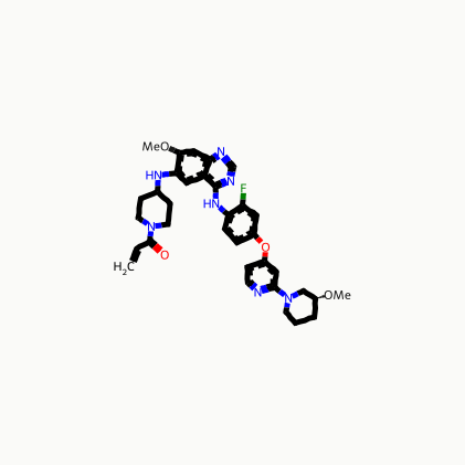 C=CC(=O)N1CCC(Nc2cc3c(Nc4ccc(Oc5ccnc(N6CCC[C@@H](OC)C6)c5)cc4F)ncnc3cc2OC)CC1